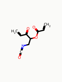 C=CC(=O)OC(CN=C=O)C(=O)C=C